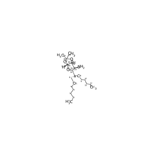 CCCCCOC[C@@H](OCCCCC)[C@H]1O[C@@H]2OC(C)(C)O[C@@H]2[C@H]1N